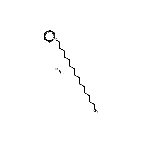 CCCCCCCCCCCCCCCC[n+]1ccccc1.OO